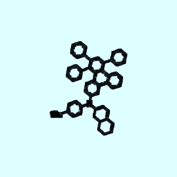 CC(C)(C)c1ccc(N(C2=CC=C3C=CCCC3C2)c2ccc3c(c2)c2ccccc2c2c(-c4ccccc4)cc(-c4ccccc4)c(-c4ccccc4)c32)cc1